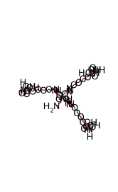 CC(=O)N[C@H]1[C@H]2OC[C@](COCCOCCOCCOCCn3cc(COCC(COCc4cn(CCOCCOCCOCCOC[C@@]56CO[C@@H](O5)[C@H](NC(C)=O)[C@@H](O)[C@H]6O)nn4)(COCc4cn(CCOCCOCCOCCOC[C@@]56CO[C@@H](O5)[C@H](NC(C)=O)[C@@H](O)[C@H]6O)nn4)NC(=O)CCCN)nn3)(O2)[C@H](O)[C@@H]1O